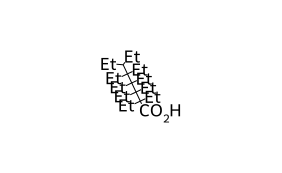 CCC(CC)C(CC)(CC)C(CC)(CC)C(CC)(CC)C(CC)(CC)C(=O)O